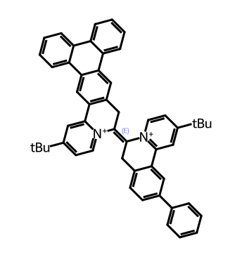 CC(C)(C)c1cc[n+]2c(c1)-c1cc(-c3ccccc3)ccc1C/C2=C1/Cc2cc3c4ccccc4c4ccccc4c3cc2-c2cc(C(C)(C)C)cc[n+]21